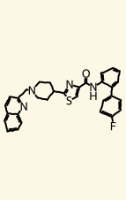 O=C(Nc1ccccc1-c1ccc(F)cc1)c1csc(C2CCN(Cc3ccc4ccccc4n3)CC2)n1